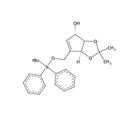 CC1(C)OC2[C@@H](O)C=C(CO[Si](c3ccccc3)(c3ccccc3)C(C)(C)C)[C@@H]2O1